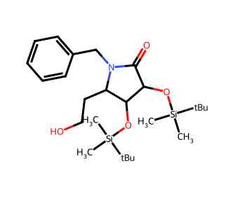 CC(C)(C)[Si](C)(C)OC1C(=O)N(Cc2ccccc2)C(CCO)C1O[Si](C)(C)C(C)(C)C